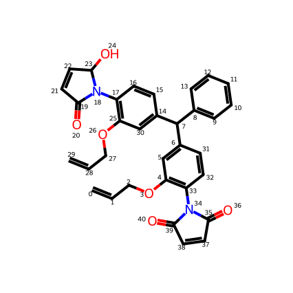 C=CCOc1cc(C(c2ccccc2)c2ccc(N3C(=O)C=CC3O)c(OCC=C)c2)ccc1N1C(=O)C=CC1=O